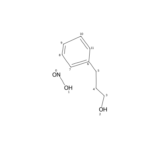 O=NO.OCCCc1ccccc1